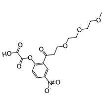 COCCOCCOCCC(=O)c1cc([N+](=O)[O-])ccc1OC(=O)C(=O)O